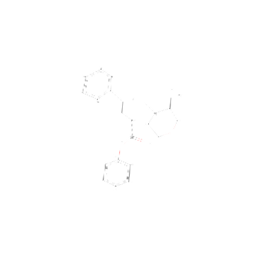 CCCCCC1COCCC1OC(C)=O.O=C(CCCc1ccccc1)Oc1ccccc1